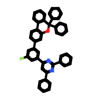 Fc1cc(-c2ccc3c(c2)OC(c2ccccc2)(c2ccccc2)c2ccccc2-3)cc(-c2cc(-c3ccccc3)nc(-c3ccccc3)n2)c1